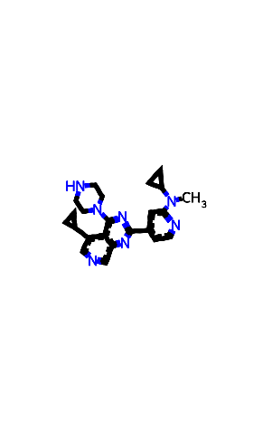 CN(c1cc(-c2nc(N3CCNCC3)c3c(C4CC4)cncc3n2)ccn1)C1CC1